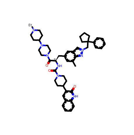 CCN1CCC(N2CCN(C(=O)[C@@H](Cc3cc(C)c4nn(CC5(c6ccccc6)CCCC5)cc4c3)NC(=O)N3CCC(c4cc5ccccc5[nH]c4=O)CC3)CC2)CC1